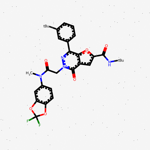 CN(C(=O)Cn1nc(-c2cccc(C(C)(C)C)c2)c2oc(C(=O)NC(C)(C)C)cc2c1=O)c1ccc2c(c1)OC(F)(F)O2